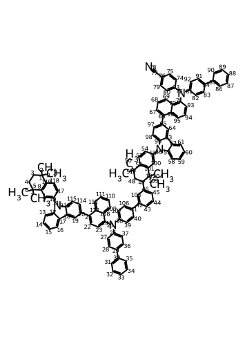 CC1(C)CCC(C)(C)c2cc(-n3c4ccccc4c4cc(-c5ccc(N(c6ccc(-c7ccccc7)cc6)c6ccc(-c7cccc(C8CC(C)(C)c9ccc(-n%10c%11ccccc%11c%11cc(-c%12cccc%13c(N(c%14ccc(C#N)cc%14)c%14ccc(-c%15ccccc%15)cc%14)cccc%12%13)ccc%11%10)cc9C8(C)C)c7)cc6)c6ccccc56)ccc43)ccc21